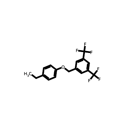 CCc1ccc(OCc2cc(C(F)(F)F)cc(C(F)(F)F)c2)cc1